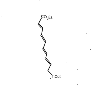 CCCCCCCCCC=CC=CC=CC=CC(=O)OCC